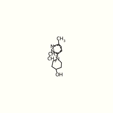 CC.Cc1ccc(N2CCC(O)CC2)nn1